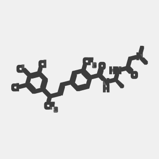 C[C@H](NC(=O)CN(C)C)NC(=O)c1ccc(/C=C/C(c2cc(Cl)c(Cl)c(Cl)c2)C(F)(F)F)cc1C(F)(F)F